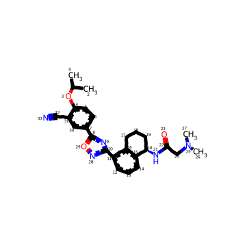 CC(C)Oc1ccc(-c2nc(-c3cccc4c3CCC[C@H]4NC(=O)CN(C)C)no2)cc1C#N